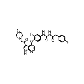 CN1CCN(CC(=O)c2c[nH]c3nccc(Oc4ccc(NC(=O)NC(=O)Cc5ccc(F)cc5)cc4F)c23)CC1